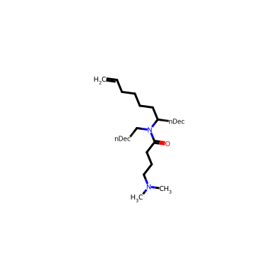 C=CCCCCC(CCCCCCCCCC)N(CCCCCCCCCCC)C(=O)CCCN(C)C